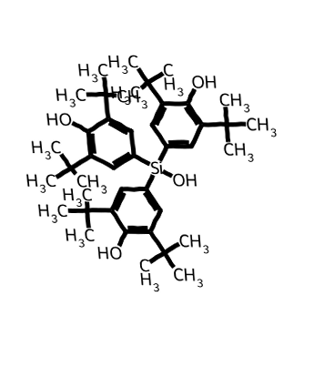 CC(C)(C)c1cc([Si](O)(c2cc(C(C)(C)C)c(O)c(C(C)(C)C)c2)c2cc(C(C)(C)C)c(O)c(C(C)(C)C)c2)cc(C(C)(C)C)c1O